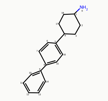 NC1CCC(c2ccc(-c3ccccc3)cc2)CC1